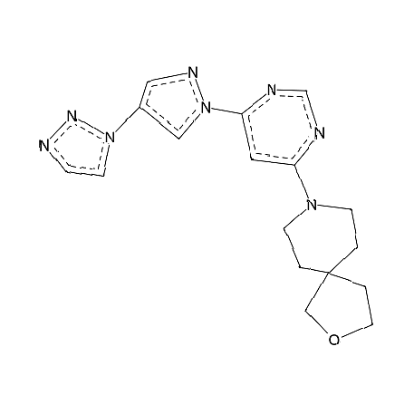 c1cn(-c2cnn(-c3cc(N4CCC5(CCOC5)CC4)ncn3)c2)nn1